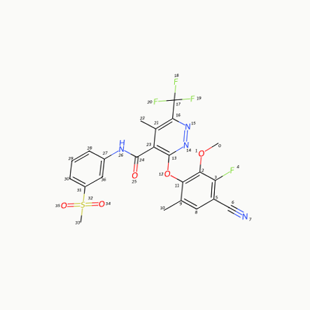 COc1c(F)c(C#N)cc(C)c1Oc1nnc(C(F)(F)F)c(C)c1C(=O)Nc1cccc(S(C)(=O)=O)c1